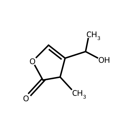 CC(O)C1=COC(=O)C1C